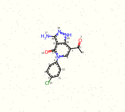 CC(=O)c1cn(-c2ccc(Cl)cc2)c(=O)c2c(N)n[nH]c12